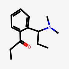 CCC(=O)c1ccccc1C(CC)N(C)C